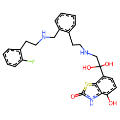 O=c1[nH]c2c(O)ccc(C(O)(O)CNCCc3ccccc3CNCCc3ccccc3F)c2s1